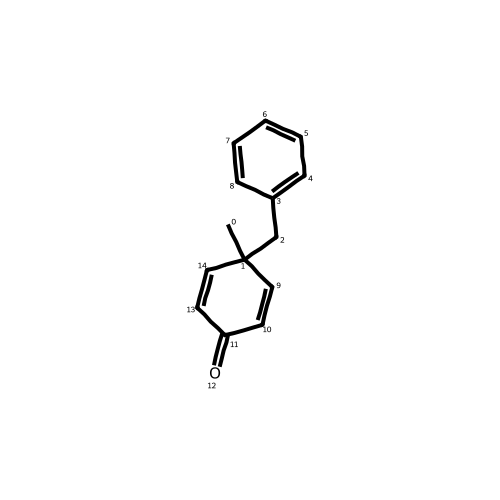 CC1(Cc2ccccc2)C=CC(=O)C=C1